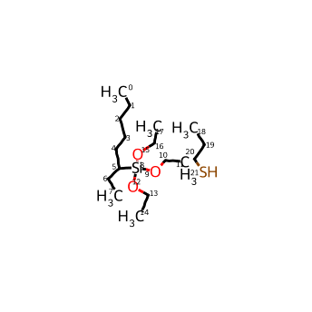 CCCCCC(CC)[Si](OCC)(OCC)OCC.CCCS